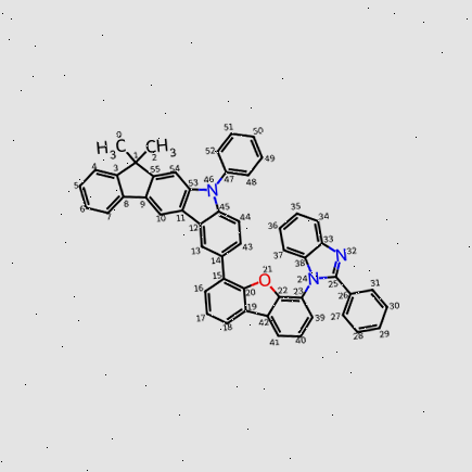 CC1(C)c2ccccc2-c2cc3c4cc(-c5cccc6c5oc5c(-n7c(-c8ccccc8)nc8ccccc87)cccc56)ccc4n(-c4ccccc4)c3cc21